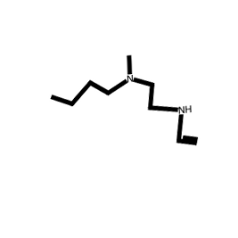 C=CNCCN(C)CCCC